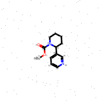 CCCCOC(=O)N1CCCCC1c1cccnc1